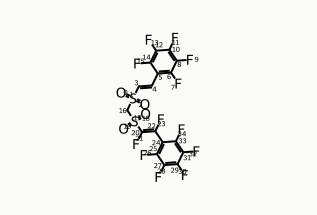 O=S(=O)(C=Cc1c(F)c(F)c(F)c(F)c1F)CS(=O)(=O)C(F)=C(F)c1c(F)c(F)c(F)c(F)c1F